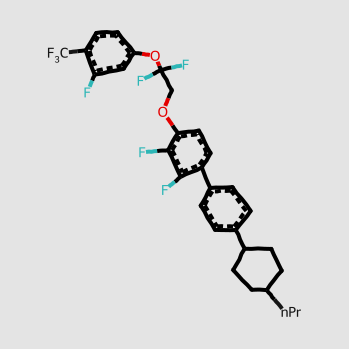 CCCC1CCC(c2ccc(-c3ccc(OCC(F)(F)Oc4ccc(C(F)(F)F)c(F)c4)c(F)c3F)cc2)CC1